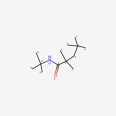 CC(C)(C)CC(C)(C)C(=O)NC(C)(C)C